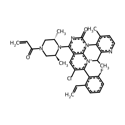 C=CC(=O)N1C[C@H](C)N(c2nc(=O)n3c4c2cc(Cl)c(-c2c(F)cccc2C=C)[n+]4C(C)c2nccc(C)c2-3)[C@@H](C)C1